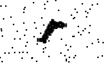 CC1C(c2ccc(C(=O)O)cc2)=CCC2(C)C1CCC1(C)C2CCC2C3CCCC3(NC(=O)N3CCCNCC3)CC[C@]21C